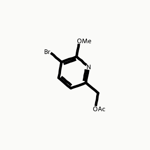 COc1nc(COC(C)=O)ccc1Br